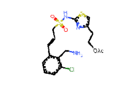 CC(=O)OCCc1csc(NS(=O)(=O)CC=Cc2cccc(Cl)c2CN)n1